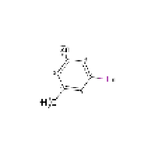 [CH2]c1cccc(I)c1.[Zn]